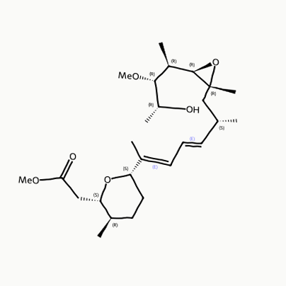 COC(=O)C[C@@H]1O[C@H](/C(C)=C/C=C/[C@@H](C)C[C@@]2(C)O[C@@H]2[C@H](C)[C@@H](OC)[C@@H](C)O)CC[C@H]1C